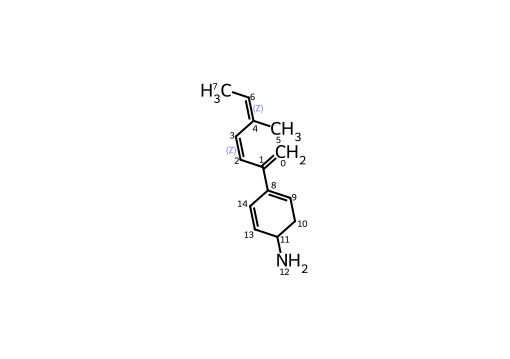 C=C(/C=C\C(C)=C/C)C1=CCC(N)C=C1